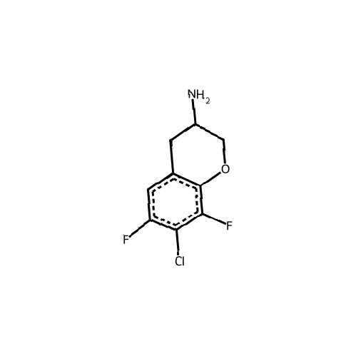 NC1COc2c(cc(F)c(Cl)c2F)C1